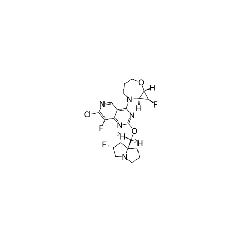 [2H]C([2H])(Oc1nc(N2CCCO[C@@H]3[C@@H](F)[C@@H]32)c2cnc(Cl)c(F)c2n1)[C@@]12CCCN1C[C@H](F)C2